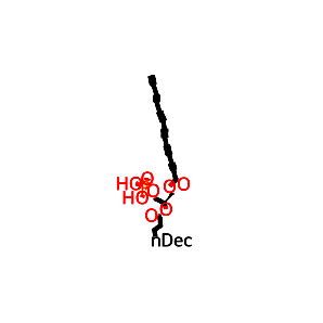 C#CC#CC#CC#CC#CC#CC(=O)OC[C@H](COP(=O)(O)O)OC(=O)CCCCCCCCCCCC